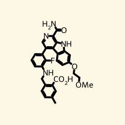 COCCOc1ccc2c(c1)[nH]c1c(C(N)=O)ncc(-c3cccc(NCc4ccc(C)cc4C(=O)O)c3F)c12